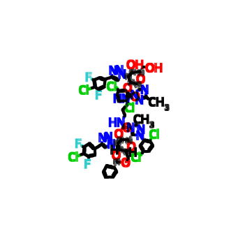 Cc1nc([C@H]2O[C@@H](CO)[C@@H](O)[C@@H](n3cc(-c4cc(F)c(Cl)c(F)c4)nn3)[C@@H]2OC(=O)NCCCNC(=O)O[C@@H]2[C@@H](n3cc(-c4cc(F)c(Cl)c(F)c4)nn3)[C@H]3O[C@@H](c4ccccc4)OC[C@H]3O[C@H]2c2nc(C)nn2-c2cc(Cl)ccc2Cl)n(-c2cc(Cl)ccc2Cl)n1